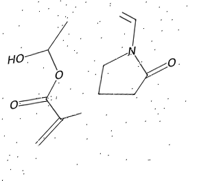 C=C(C)C(=O)OC(C)O.C=CN1CCCC1=O